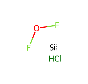 Cl.FOF.[Si]